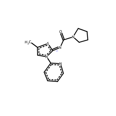 Cc1cn(-c2ccccn2)/c(=N/C(=O)N2CCCC2)s1